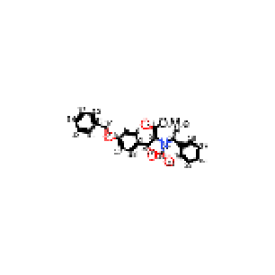 COC(=O)C1C(c2ccc(OCc3ccccc3)cc2)OC(=O)N1C(C)c1ccccc1